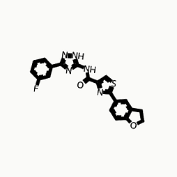 O=C(Nc1nc(-c2cccc(F)c2)n[nH]1)c1csc(-c2ccc3c(c2)CCO3)n1